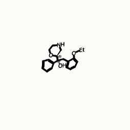 CCOc1ccccc1C[C@@](O)(c1ccccc1)[C@@H]1CNCCO1